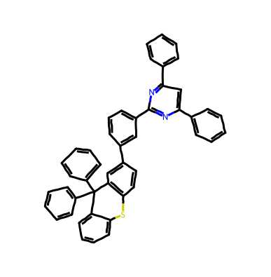 c1ccc(-c2cc(-c3ccccc3)nc(-c3cccc(-c4ccc5c(c4)C(c4ccccc4)(c4ccccc4)c4ccccc4S5)c3)n2)cc1